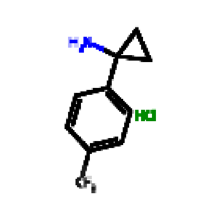 Cl.NC1(c2ccc(C(F)(F)F)cc2)CC1